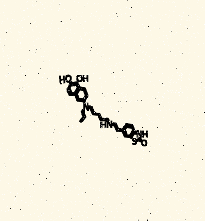 CCCN(CCCCCNCCc1ccc2[nH]c(=O)sc2c1)[C@H]1CCc2c(ccc(O)c2O)C1